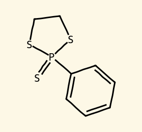 S=P1(c2ccccc2)SCCS1